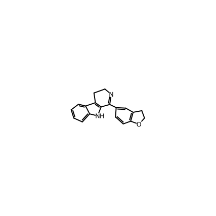 c1ccc2c3c([nH]c2c1)C(c1ccc2c(c1)CCO2)=NCC3